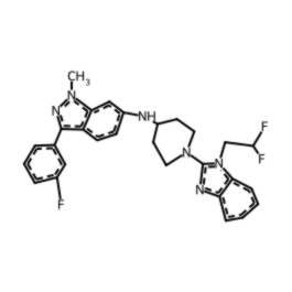 Cn1nc(-c2cccc(F)c2)c2ccc(NC3CCN(c4nc5ccccc5n4CC(F)F)CC3)cc21